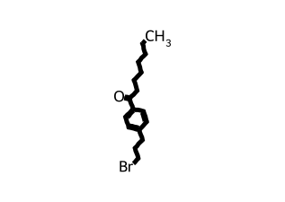 CCCCCCCC(=O)c1ccc(CCCBr)cc1